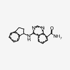 NC(=O)c1cccc2c(NC3CCc4ccccc43)ncnc12